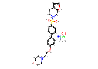 Cl.O=CNO.O=S(=O)(c1ccc(-c2ccc(OCCN3CCOCC3)cc2)cc1)N1CCc2ccoc2C1